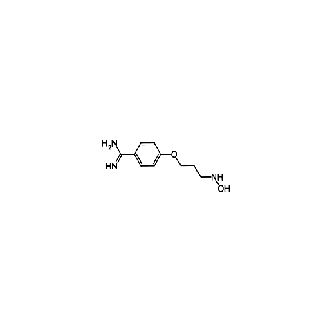 N=C(N)c1ccc(OCCCNO)cc1